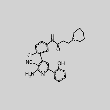 N#Cc1c(-c2cc(NC(=O)CCN3CCCCC3)ccc2Cl)cc(-c2ccccc2O)nc1N